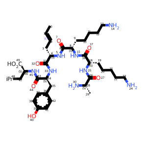 C/C=C/C[C@H](NC(=O)[C@H](CCCCCN)NC(=O)[C@H](CCCCCN)NC(=O)[C@H](C)N)C(=O)N[C@@H](Cc1ccc(O)cc1)C(=O)N[C@@H](CC(C)C)C(=O)O